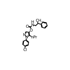 CCCc1c(OC(=O)NCC(C)c2ccccc2)cnn1-c1ccc(Cl)cc1